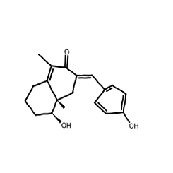 CC1=C2CCC[C@H](O)[C@@]2(C)C/C(=C\c2ccc(O)cc2)C1=O